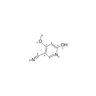 COc1cc(O)ncc1C#N